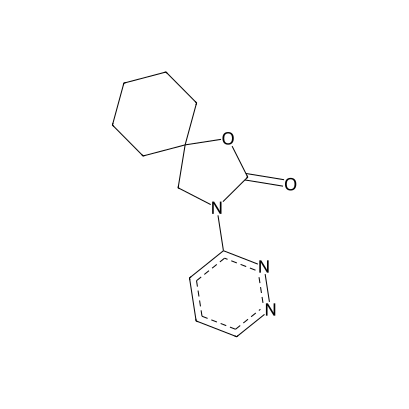 O=C1OC2(CCCCC2)CN1c1cccnn1